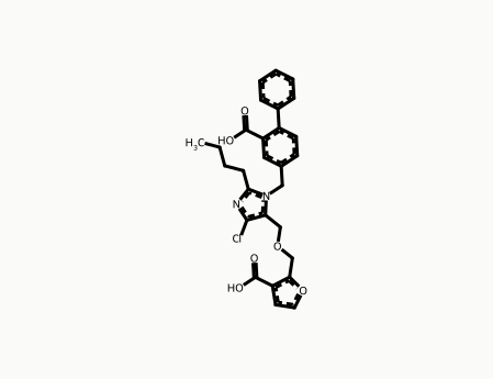 CCCCc1nc(Cl)c(COCc2occc2C(=O)O)n1Cc1ccc(-c2ccccc2)c(C(=O)O)c1